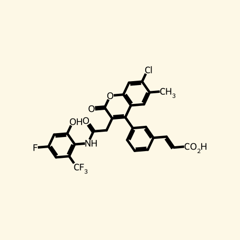 Cc1cc2c(-c3cccc(/C=C/C(=O)O)c3)c(CC(=O)Nc3c(O)cc(F)cc3C(F)(F)F)c(=O)oc2cc1Cl